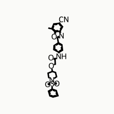 Cc1cc(C#N)cc2nc(-c3ccc(NC(=O)COC4CCN(S(=O)(=O)c5ccccc5)CC4)cc3)oc12